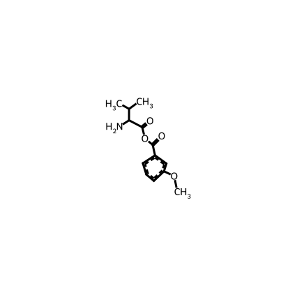 COc1cccc(C(=O)OC(=O)C(N)C(C)C)c1